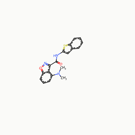 CN(C)c1cccc2onc(C(=O)Nc3cc4ccccc4s3)c12